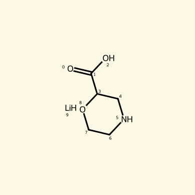 O=C(O)C1CNCCO1.[LiH]